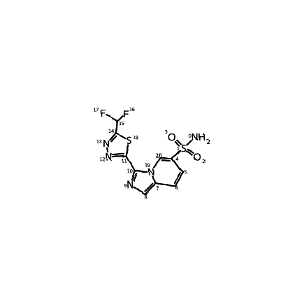 NS(=O)(=O)c1ccc2cnc(-c3nnc(C(F)F)s3)n2c1